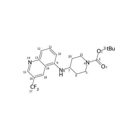 CC(C)(C)OC(=O)N1CCC(Nc2cccc3ncc(C(F)(F)F)cc23)CC1